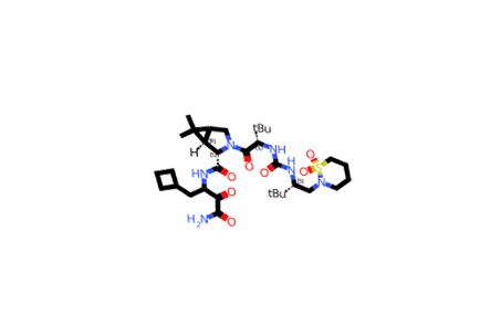 CC(C)(C)[C@H](NC(=O)N[C@H](CN1CCCCS1(=O)=O)C(C)(C)C)C(=O)N1CC2[C@@H]([C@H]1C(=O)NC(CC1CCC1)C(=O)C(N)=O)C2(C)C